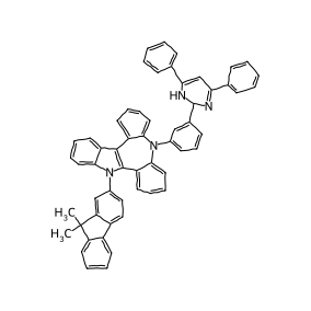 CC1(C)c2ccccc2-c2ccc(-n3c4c(c5ccccc53)-c3ccccc3N(c3cccc(C5N=C(c6ccccc6)C=C(c6ccccc6)N5)c3)c3ccccc3-4)cc21